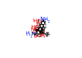 C[C@H]1c2ccc(N)c(O)c2C(=O)C2=C(O)[C@]3(O)C(=O)C(C(N)=O)C(O)C[C@@H]3[C@@H](OC(=O)C3CCC3)[C@@H]21